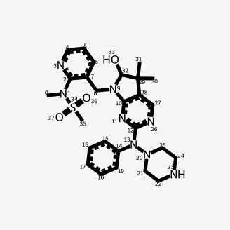 CN(c1ncccc1CN1c2nc(N(c3ccccc3)N3CCNCC3)ncc2C(C)(C)C1O)S(C)(=O)=O